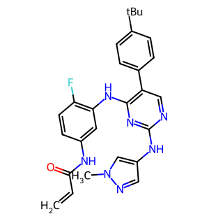 C=CC(=O)Nc1ccc(F)c(Nc2nc(Nc3cnn(C)c3)ncc2-c2ccc(C(C)(C)C)cc2)c1